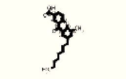 CCCCCCCCc1cc(C)c2oc3ccc(C(=O)O)cc3c(=O)c2c1